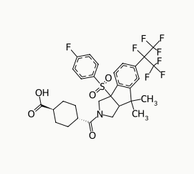 CC1(C)c2cc(C(F)(C(F)(F)F)C(F)(F)F)ccc2C2(S(=O)(=O)c3ccc(F)cc3)CN(C(=O)[C@H]3CC[C@H](C(=O)O)CC3)CC12